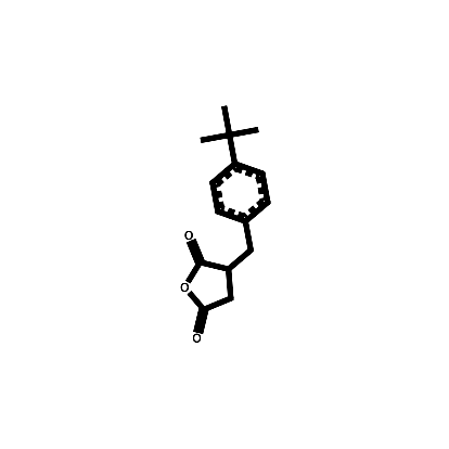 CC(C)(C)c1ccc(CC2CC(=O)OC2=O)cc1